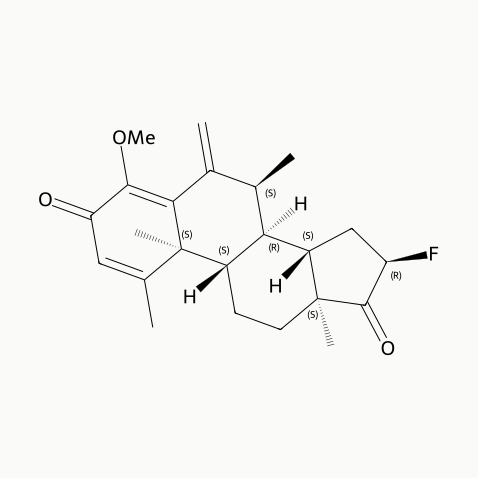 C=C1C2=C(OC)C(=O)C=C(C)[C@]2(C)[C@H]2CC[C@]3(C)C(=O)[C@H](F)C[C@H]3[C@@H]2[C@@H]1C